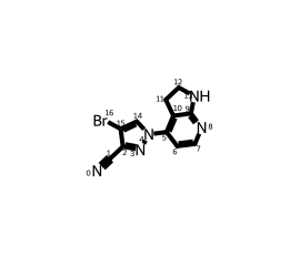 N#Cc1nn(-c2ccnc3c2CCN3)cc1Br